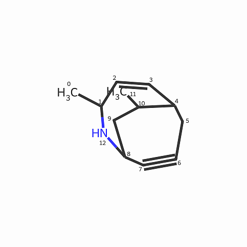 CC1/C=C\C2CC#CC(CC2C)N1